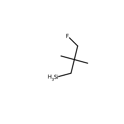 CC(C)(CF)C[SiH3]